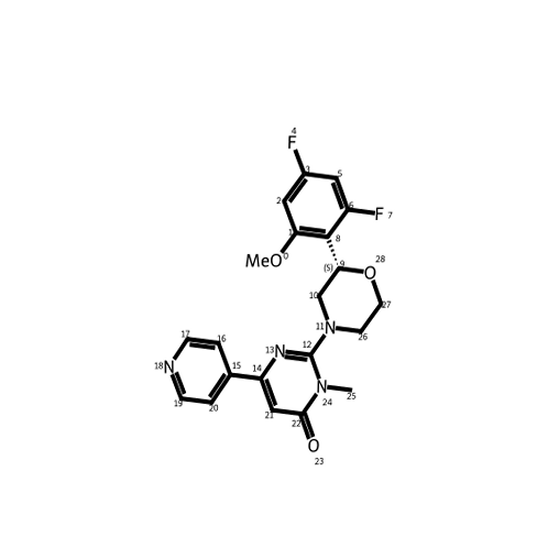 COc1cc(F)cc(F)c1[C@H]1CN(c2nc(-c3ccncc3)cc(=O)n2C)CCO1